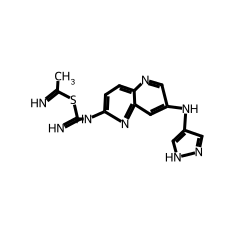 CC(=N)SC(=N)Nc1ccc2ncc(Nc3cn[nH]c3)cc2n1